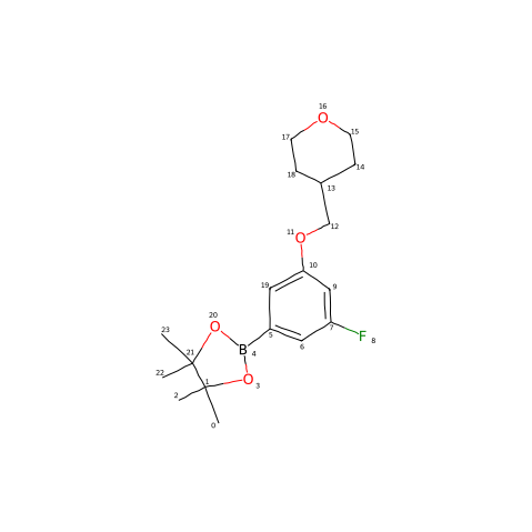 CC1(C)OB(c2cc(F)cc(OCC3CCOCC3)c2)OC1(C)C